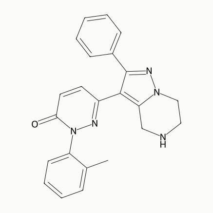 Cc1ccccc1-n1nc(-c2c(-c3ccccc3)nn3c2CNCC3)ccc1=O